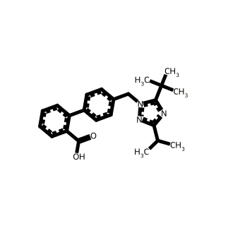 CC(C)c1nc(C(C)(C)C)n(Cc2ccc(-c3ccccc3C(=O)O)cc2)n1